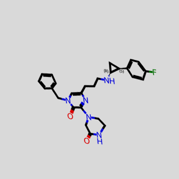 O=C1CN(c2nc(CCCN[C@@H]3C[C@H]3c3ccc(F)cc3)cn(Cc3ccccc3)c2=O)CCN1